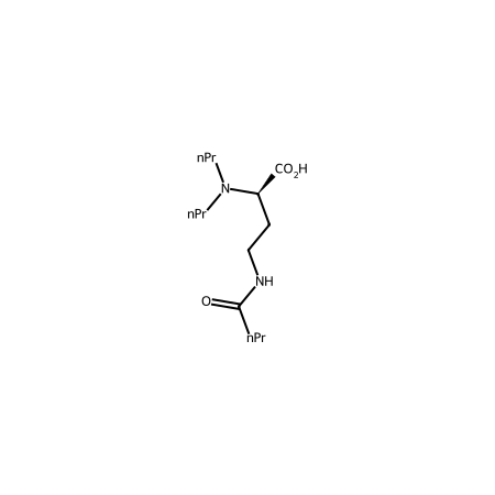 CCCC(=O)NCC[C@H](C(=O)O)N(CCC)CCC